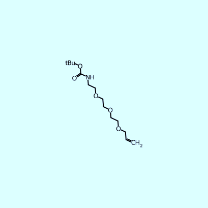 C=CCOCCOCCOCCNC(=O)OC(C)(C)C